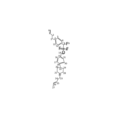 C=CCCc1ccc(C(F)C(F)(F)OCc2ccc(C3CCC(CCC=CC)CC3)cc2)cc1